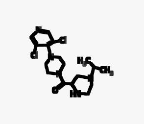 CC(C)N1CCNC(C(=O)N2CCN(c3c(Cl)cncc3Cl)CC2)C1